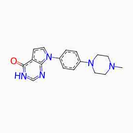 CN1CCN(c2ccc(-n3ccc4c(=O)[nH]cnc43)cc2)CC1